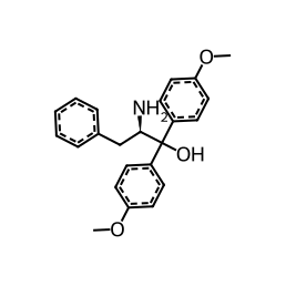 COc1ccc(C(O)(c2ccc(OC)cc2)[C@H](N)Cc2ccccc2)cc1